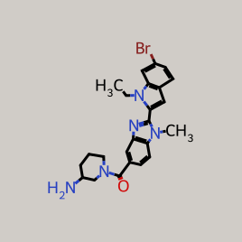 CCn1c(-c2nc3cc(C(=O)N4CCCC(N)C4)ccc3n2C)cc2ccc(Br)cc21